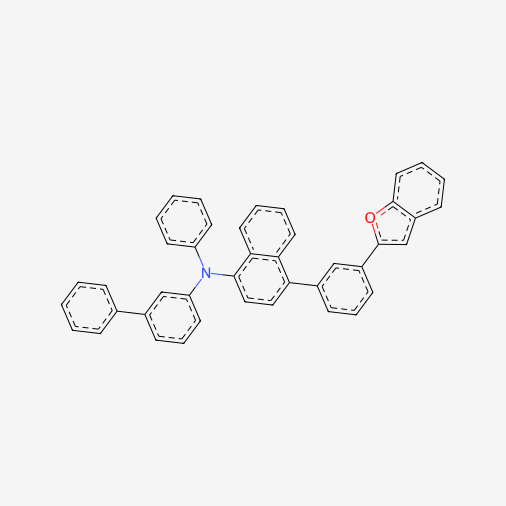 c1ccc(-c2cccc(N(c3ccccc3)c3ccc(-c4cccc(-c5cc6ccccc6o5)c4)c4ccccc34)c2)cc1